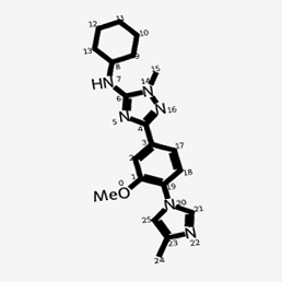 COc1cc(-c2nc(NC3CCCCC3)n(C)n2)ccc1-n1cnc(C)c1